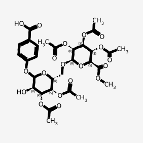 COC(=O)[C@H]1O[C@@H](OC[C@H]2OC(Oc3ccc(C(=O)O)cc3)[C@H](O)[C@@H](OC(C)=O)[C@H]2OC(C)=O)[C@H](OC(C)=O)[C@@H](OC(C)=O)[C@@H]1OC(C)=O